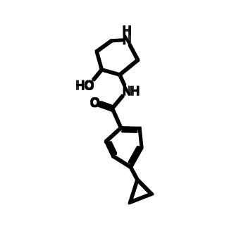 O=C(NC1CNCCC1O)c1ccc(C2CC2)cc1